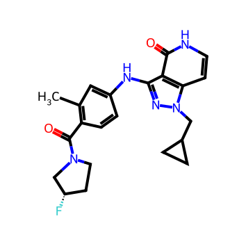 Cc1cc(Nc2nn(CC3CC3)c3cc[nH]c(=O)c23)ccc1C(=O)N1CC[C@H](F)C1